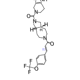 O=C(/C=C/c1ccc(OC(F)(F)F)cc1)N1CC[C@@H]2CN(C(=O)N3CCc4[nH]cnc4C3)C[C@@H]2CC1